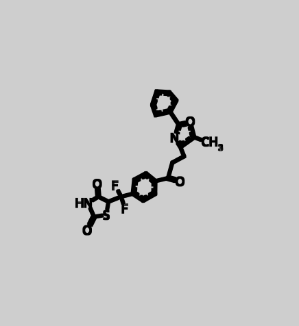 Cc1oc(-c2ccccc2)nc1CCC(=O)c1ccc(C(F)(F)C2SC(=O)NC2=O)cc1